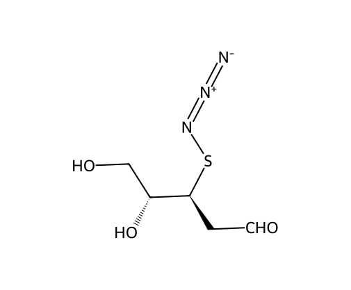 [N-]=[N+]=NS[C@@H](CC=O)[C@H](O)CO